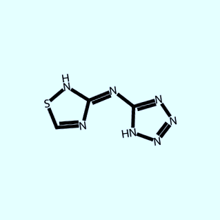 c1nc(=Nc2nnn[nH]2)[nH]s1